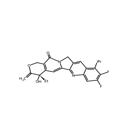 C=C1OCc2c(cc3n(c2=O)Cc2cc4c(C(C)C)c(F)c(F)cc4nc2-3)[C@@]1(O)CC